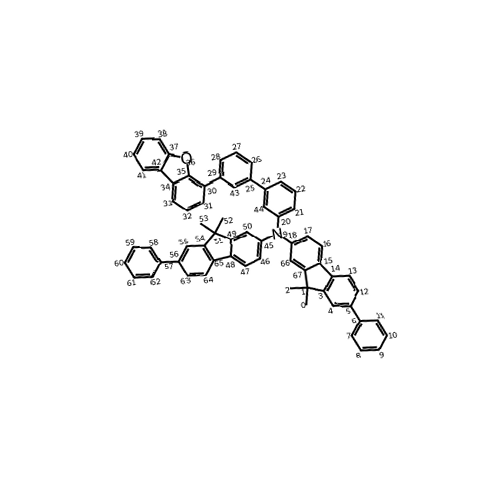 CC1(C)c2cc(-c3ccccc3)ccc2-c2ccc(N(c3cccc(-c4cccc(-c5cccc6c5oc5ccccc56)c4)c3)c3ccc4c(c3)C(C)(C)c3cc(-c5ccccc5)ccc3-4)cc21